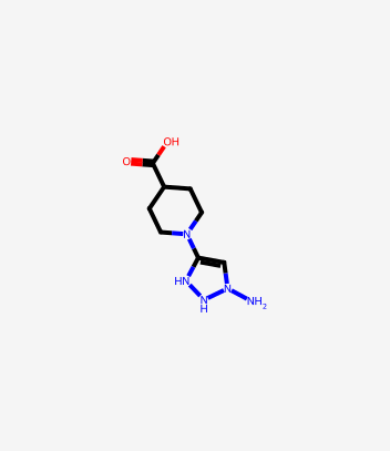 NN1C=C(N2CCC(C(=O)O)CC2)NN1